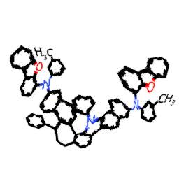 Cc1cccc(N(c2ccc3c4c(ccc3c2)-c2c(ccc3c5ccc6cc(N(c7cccc(C)c7)c7cccc8c7oc7ccccc78)ccc6c5n(-c5ccccc5)c23)CCC4c2ccccc2)c2cccc3c2oc2ccccc23)c1